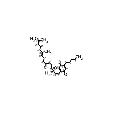 CCCCCC1=CC(=O)C2=C(OC(C)(CC/C=C(\C)CC/C=C(\C)CCC=C(C)C)C=C2)C1=O